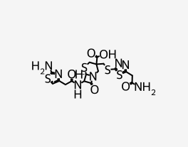 NC(=O)Cc1nnc(SCC2(C(=O)O)CS[C@@H]3C(NC(=O)Cc4csc(N)n4)C(=O)N3C2)s1